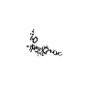 C=CCn1c(=O)c2cnc(NC3(CO)C=CC(N4CCNCC4)=CC3)nc2n1-c1cccc(N=S(C)(C)=O)c1